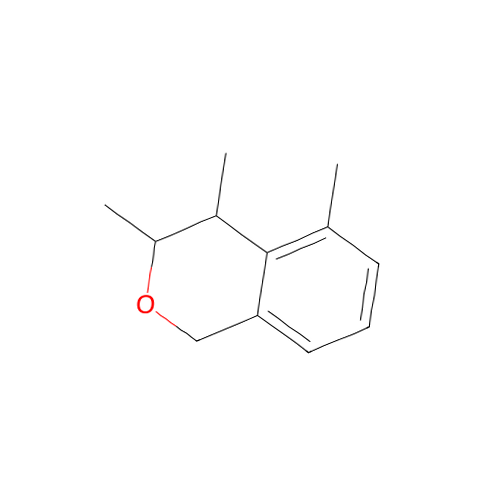 Cc1cccc2c1C(C)C(C)OC2